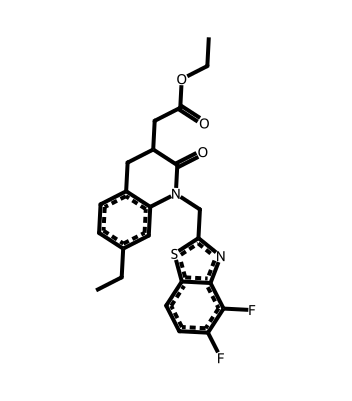 CCOC(=O)CC1Cc2ccc(CC)cc2N(Cc2nc3c(F)c(F)ccc3s2)C1=O